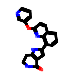 O=C1NCCc2[nH]c(-c3cccc4ccc(Oc5cccnc5)nc34)cc21